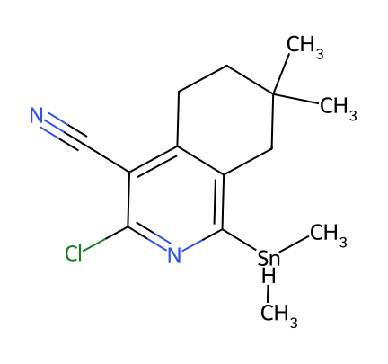 [CH3][SnH]([CH3])[c]1nc(Cl)c(C#N)c2c1CC(C)(C)CC2